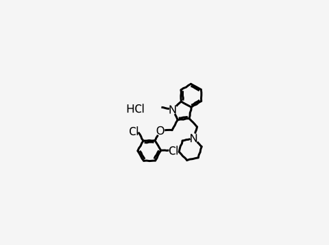 Cl.Cn1c(COc2c(Cl)cccc2Cl)c(CN2CCCCC2)c2ccccc21